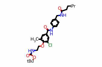 Cc1cc(C(=O)Nc2ccc(CNC(=O)CCC(C)C)cc2)cc(Cl)c1OCCNC(=O)OC(C)(C)C